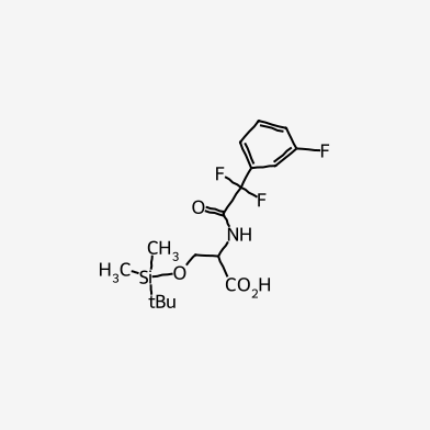 CC(C)(C)[Si](C)(C)OCC(NC(=O)C(F)(F)c1cccc(F)c1)C(=O)O